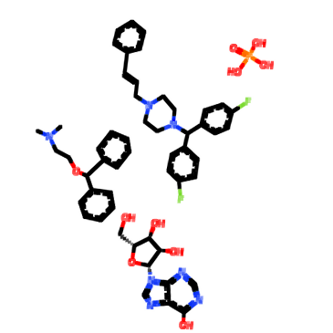 CN(C)CCOC(c1ccccc1)c1ccccc1.Fc1ccc(C(c2ccc(F)cc2)N2CCN(C/C=C/c3ccccc3)CC2)cc1.O=P(O)(O)O.OC[C@H]1O[C@@H](n2cnc3c(O)ncnc32)[C@H](O)[C@@H]1O